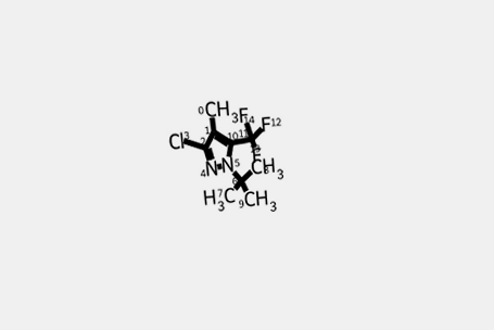 Cc1c(Cl)nn(C(C)(C)C)c1C(F)(F)F